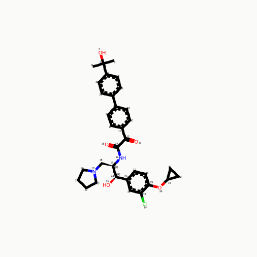 CC(C)(O)c1ccc(-c2ccc(C(=O)C(=O)N[C@H](CN3CCCC3)[C@H](O)c3ccc(OC4CC4)c(Cl)c3)cc2)cc1